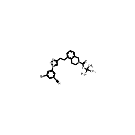 CC(C)(C)OC(=O)N1CCc2c(CCc3cn(-c4cc(Br)cc(C#N)c4)nn3)cccc2C1